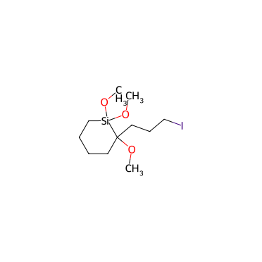 COC1(CCCI)CCCC[Si]1(OC)OC